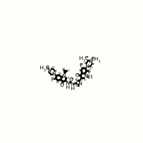 CCn1cc(-c2nnc(NC(=O)Nc3cn(C4CC4)c4cc(N5CCN(C)CC5)c(F)cc4c3=O)s2)c(=O)c2cc(F)c(N3CCN(C)C(C)C3)c(F)c21